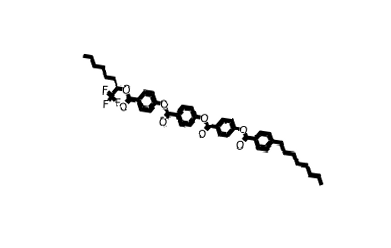 CCCCCCCCc1ccc(C(=O)Oc2ccc(C(=O)Oc3ccc(C(=O)Oc4ccc(C(=O)O[C@H](CCCCCC)C(F)(F)F)cc4)cc3)cc2)cc1